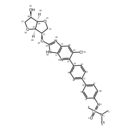 CCN(C)S(C)(=O)=Nc1ccc(-c2ccc(-c3nc4[nH]c(O[C@@H]5CO[C@H]6[C@@H]5OC[C@H]6O)nc4cc3Cl)cc2)cc1